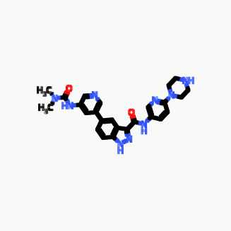 CN(C)C(=O)Nc1cncc(-c2ccc3[nH]nc(C(=O)Nc4ccc(N5CCNCC5)nc4)c3c2)c1